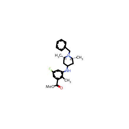 COC(=O)c1cc(F)cc(NC2C[C@@H](C)N(Cc3ccccc3)[C@@H](C)C2)c1C